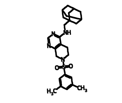 Cc1cc(C)cc(S(=O)(=O)N2CCc3c(ncnc3NCC34CC5CC(CC(C5)C3)C4)C2)c1